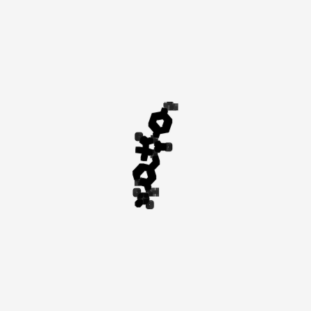 CC(C)(C)c1ccc(N2C(=O)N(Cc3ccnc(NS(C)(=O)=O)c3)C(C)(C)C2=O)cc1